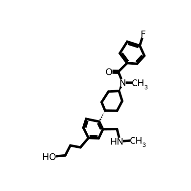 CNCc1cc(CCCO)ccc1[C@H]1CC[C@H](N(C)C(=O)c2ccc(F)cc2)CC1